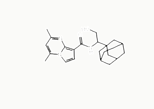 Cc1cc(C)n2ccc(C(=O)NC(CO)C34CC5CC(CC(C5)C3)C4)c2n1